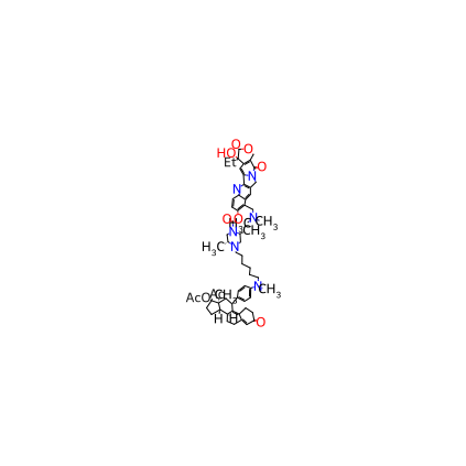 CC[C@@]1(O)C(=O)OCc2c1cc1n(c2=O)Cc2cc3c(CN(C)C)c(OC(=O)N4C[C@@H](C)N(CCCCCCN(C)c5ccc(C6C[C@@]7(C)[C@@H](CC[C@]7(OC(C)=O)C(C)=O)[C@@H]7CCC8=CC(=O)CCC8=C67)cc5)C[C@@H]4C)ccc3nc2-1